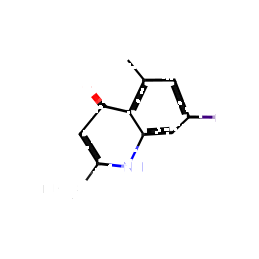 CCOC(=O)c1cc(=O)c2c(C)cc(I)cc2[nH]1